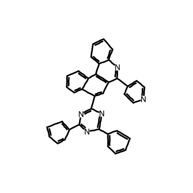 c1ccc(-c2nc(-c3ccccc3)nc(-c3cc4c(-c5ccncc5)nc5ccccc5c4c4ccccc34)n2)cc1